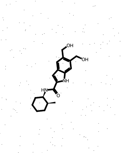 C[C@H]1CCCC[C@H]1NC(=O)c1cc2cc(CO)c(CO)cc2[nH]1